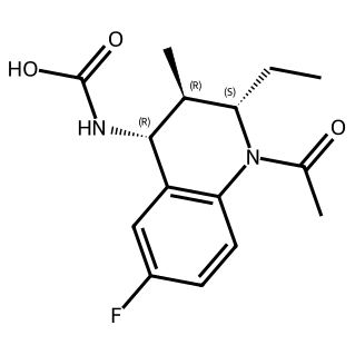 CC[C@H]1[C@H](C)[C@@H](NC(=O)O)c2cc(F)ccc2N1C(C)=O